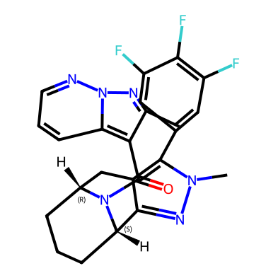 Cc1nn2ncccc2c1C(=O)N1[C@@H]2CCC[C@H]1c1nn(C)c(-c3cc(F)c(F)c(F)c3)c1C2